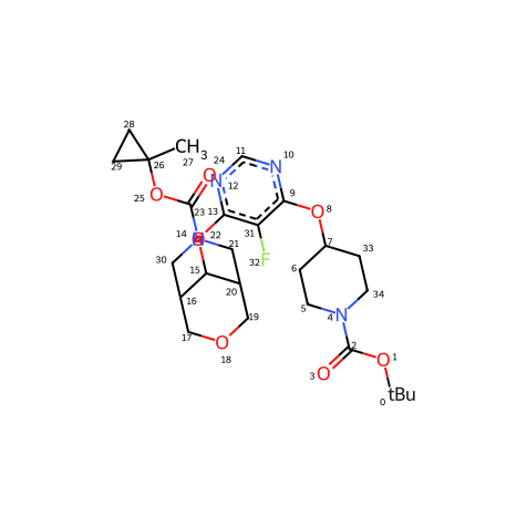 CC(C)(C)OC(=O)N1CCC(Oc2ncnc(OC3C4COCC3CN(C(=O)OC3(C)CC3)C4)c2F)CC1